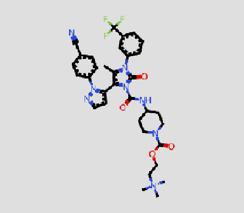 Cc1c(-c2ccnn2-c2ccc(C#N)cc2)n(C(=O)NC2CCN(C(=O)OCC[N+](C)(C)C)CC2)c(=O)n1-c1cccc(C(F)(F)F)c1